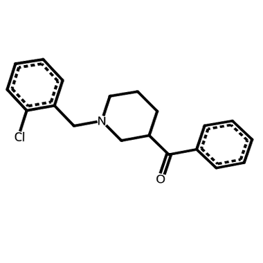 O=C(c1ccccc1)C1CCCN(Cc2ccccc2Cl)C1